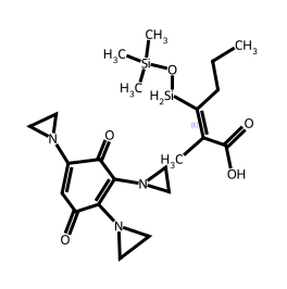 CCC/C([SiH2]O[Si](C)(C)C)=C(/C)C(=O)O.O=C1C=C(N2CC2)C(=O)C(N2CC2)=C1N1CC1